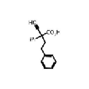 C#CC(CCc1ccccc1)(C(=O)O)C(C)C